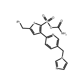 CC(C)Cc1cc(-c2ccc(Cn3ccnc3)cn2)c(S(=O)(=O)OC(N)=O)s1